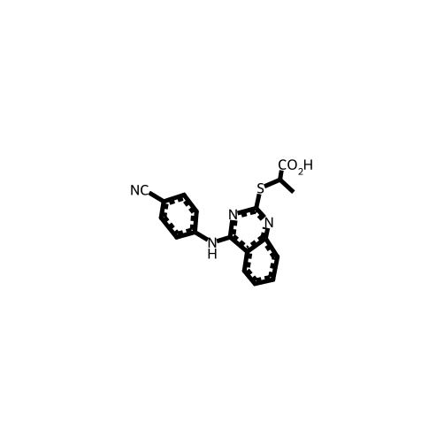 CC(Sc1nc(Nc2ccc(C#N)cc2)c2ccccc2n1)C(=O)O